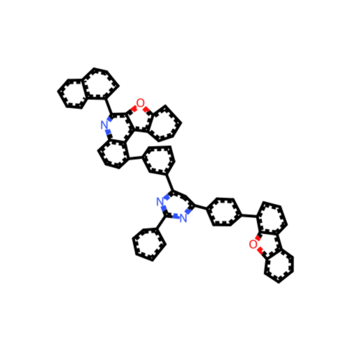 c1ccc(-c2nc(-c3ccc(-c4cccc5c4oc4ccccc45)cc3)cc(-c3cccc(-c4cccc5nc(-c6cccc7ccccc67)c6oc7ccccc7c6c45)c3)n2)cc1